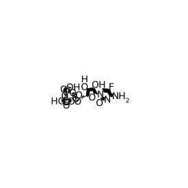 Nc1nc(=O)n([C@@H]2O[C@H](COP3(=O)OP(=O)(O)OP(=O)(O)O3)[C@H](O)C2O)cc1F